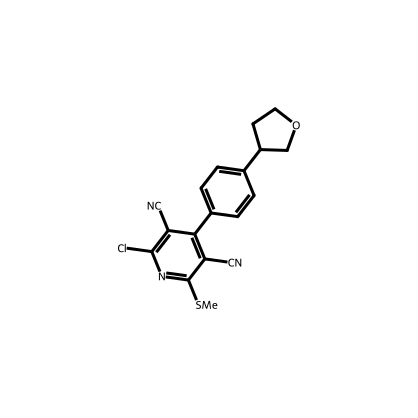 CSc1nc(Cl)c(C#N)c(-c2ccc(C3CCOC3)cc2)c1C#N